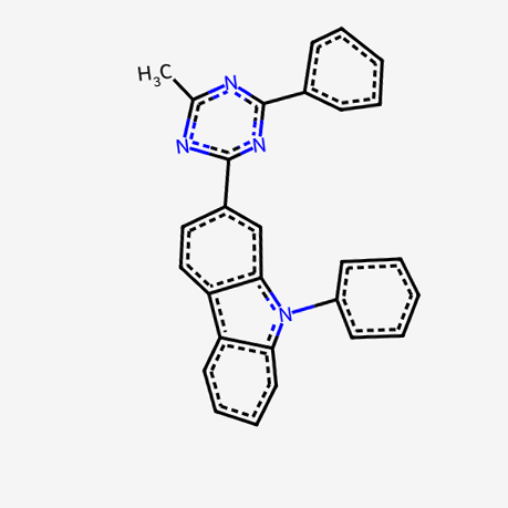 Cc1nc(-c2ccccc2)nc(-c2ccc3c4ccccc4n(-c4ccccc4)c3c2)n1